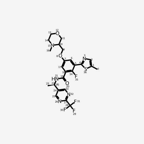 Cc1cnc(-c2cc(OCC3COCCN3C)cc(C(=O)N[C@H](C)c3cnc(C(F)(F)F)nc3)c2F)s1